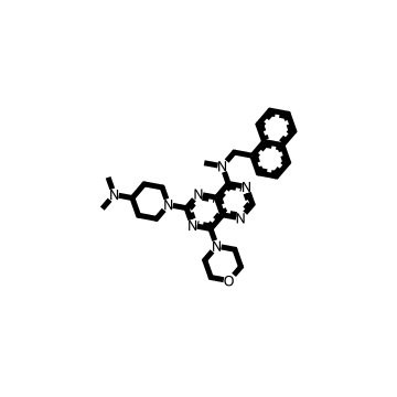 CN(Cc1cccc2ccccc12)c1ncnc2c(N3CCOCC3)nc(N3CCC(N(C)C)CC3)nc12